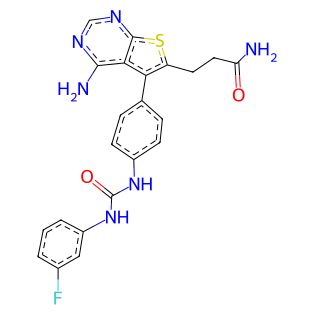 NC(=O)CCc1sc2ncnc(N)c2c1-c1ccc(NC(=O)Nc2cccc(F)c2)cc1